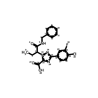 CCC(C(=O)NCc1ccccc1)n1nc(-c2ccc(Cl)c(F)c2)nc1C(=O)O